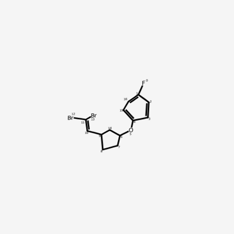 Fc1ccc(OC2CCC(C=C(Br)Br)C2)cc1